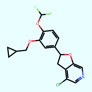 FC(F)Oc1ccc(C2Cc3c(Cl)cncc3O2)cc1OCC1CC1